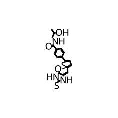 CC(O)CNC(=O)c1ccc(-c2ccc(C=C3NC(=S)NC3=O)s2)cc1